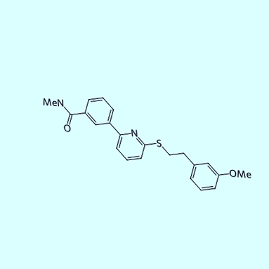 CNC(=O)c1cccc(-c2cccc(SCCc3cccc(OC)c3)n2)c1